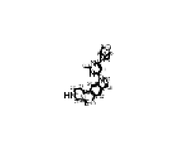 Cc1nc(N2CC3CC2CO3)cc(-n2ncc3cc(C)c(C4CCNCN4F)cc32)n1